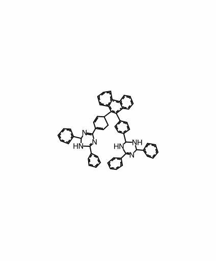 C1=CC(c2c(-c3ccc(C4NC(c5ccccc5)=NC(c5ccccc5)N4)cc3)c3ccccc3c3ccccc23)CC=C1C1=NC(c2ccccc2)NC(c2ccccc2)=N1